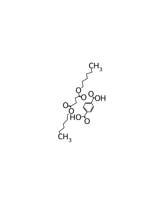 CCCCCCOC(=O)CCC(=O)OCCCCCC.O=C(O)c1ccc(C(=O)O)cc1